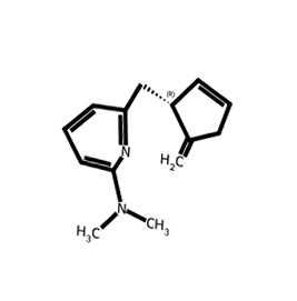 C=C1CC=C[C@H]1Cc1cccc(N(C)C)n1